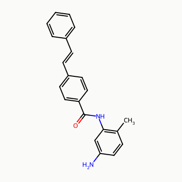 Cc1ccc(N)cc1NC(=O)c1ccc(C=Cc2ccccc2)cc1